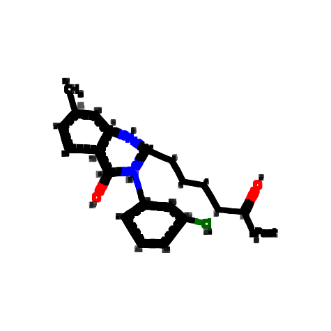 CCCCCC(=O)CCCCc1nc2cc(C)ccc2c(=O)n1-c1cccc(Cl)c1